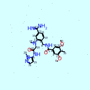 COc1cc(C(=O)NCc2ccc(C(=N)N)cc2N(C)CC(=O)Nc2ccnn2C)cc(OC)c1C